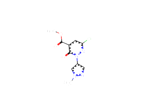 COC(=O)c1cc(Cl)nn(-c2cnn(C)c2)c1=O